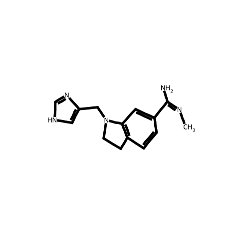 C/N=C(/N)c1ccc2c(c1)N(Cc1c[nH]cn1)CC2